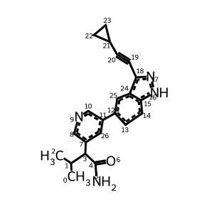 CC(C)C(C(N)=O)c1cncc(-c2ccc3[nH]nc(C#CC4CC4)c3c2)c1